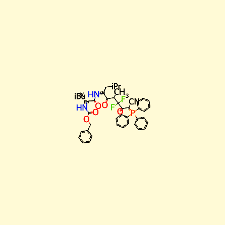 CC[C@H](C)[C@H](NC(=O)OCc1ccccc1)C(=O)N[C@@H](CC(C)C)C(=O)C(C)C(F)(F)C(=O)C(C#N)=P(c1ccccc1)(c1ccccc1)c1ccccc1